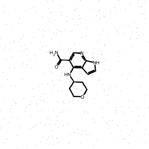 NC(=O)c1cnc2[nH]ccc2c1NC1CCOCC1